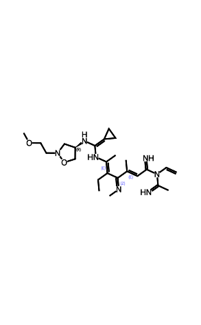 C=CN(C(C)=N)C(=N)/C=C(C)/C(=N/C)C(/CC)=C(\C)NC(N[C@H]1CON(CCOC)C1)=C1CC1